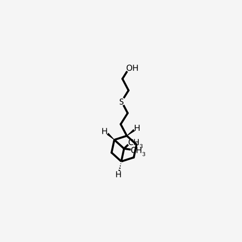 CC1(C)[C@H]2CC[C@@H](CCSCCO)[C@H]1C2